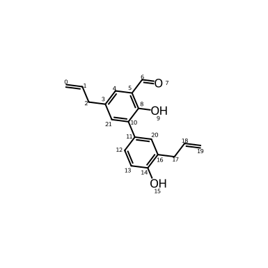 C=CCc1cc(C=O)c(O)c(-c2ccc(O)c(CC=C)c2)c1